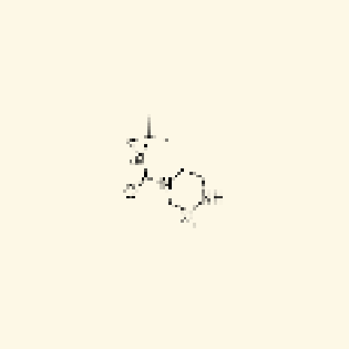 C[C@@H]1CN(C(=O)[C@H]2CC2(C)C)CCN1